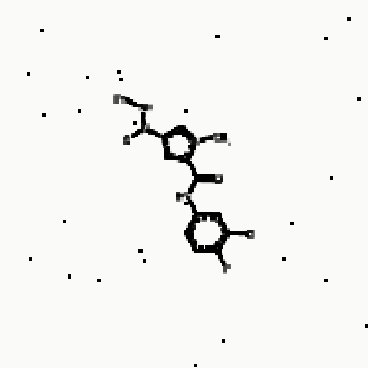 CC(C)N[S+]([O-])c1cc(C(=O)Nc2ccc(F)c(Cl)c2)n(C)c1